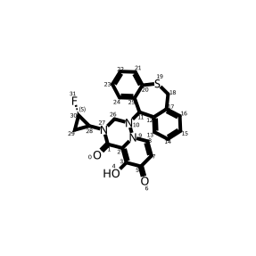 O=C1c2c(O)c(=O)ccn2N(C2c3ccccc3CSc3ccccc32)CN1C1C[C@@H]1F